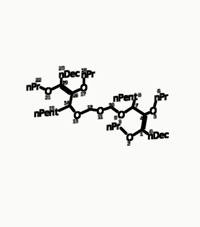 CCCCCCCCCCC(OCCC)=C(OCCC)C(CCCCC)OCOCOC(CCCCC)C(OCCC)=C(CCCCCCCCCC)OCCC